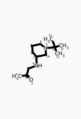 CC(=O)CNC1CCCN(C(C)(C)C)C1